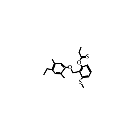 CCC(=S)Oc1cccc(SC)c1COc1cc(C)c(CC)cc1C